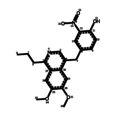 CCCc1ncc(Cc2ccc(O)c([N+](=O)[O-])c2)c2cc(OC)c(OC)cc12